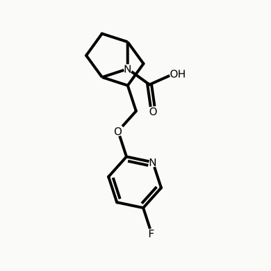 O=C(O)N1C2CCC1C(COc1ccc(F)cn1)C2